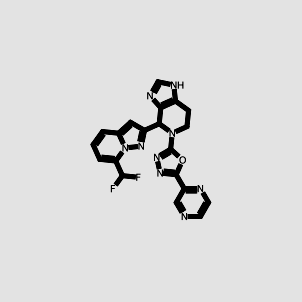 FC(F)c1cccc2cc(C3c4nc[nH]c4CCN3c3nnc(-c4cnccn4)o3)nn12